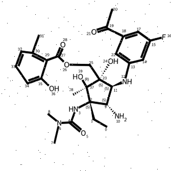 CC[C@]1(NC(=O)N(C)C)[C@@H](N)[C@H](Nc2cc(F)cc(C(C)=O)c2)[C@](O)(COC(=O)c2c(C)cccc2O)[C@]1(C)O